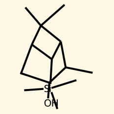 CC1C(O)CC2C([Si](C)(C)C)C1C2(C)C